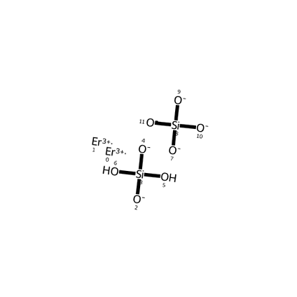 [Er+3].[Er+3].[O-][Si]([O-])(O)O.[O-][Si]([O-])([O-])[O-]